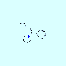 C=CCC=C(c1ccccc1)N1CCCC1